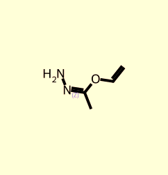 C=CO/C(C)=N\N